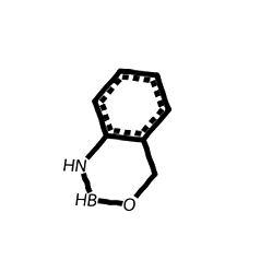 B1Nc2ccccc2CO1